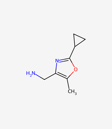 Cc1oc(C2CC2)nc1CN